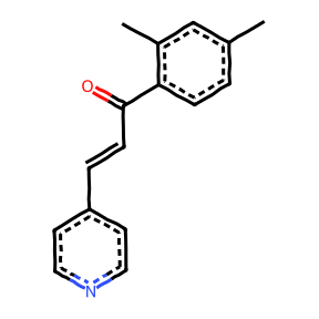 Cc1ccc(C(=O)/C=C/c2ccncc2)c(C)c1